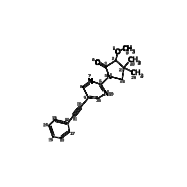 COC1C(=O)N(c2ncc(C#Cc3ccccc3)cn2)CC1(C)C